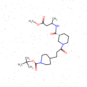 COC(=O)CC(C)NC(=O)[C@@H]1CCCN(C(=O)CCC2CCN(C(=O)OC(C)(C)C)CC2)C1